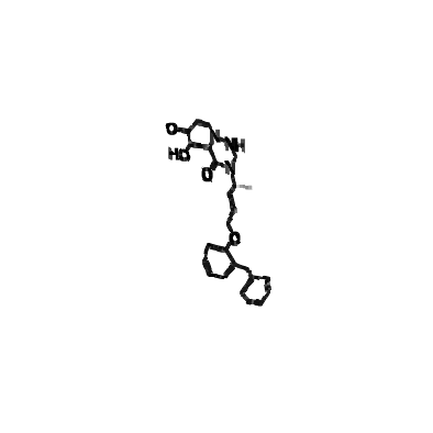 C[C@H](/C=C/COc1ccccc1Cc1ccccc1)N1CNn2ccc(=O)c(O)c2C1=O